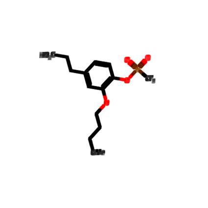 COCCCOc1cc(CCC(=O)O)ccc1OS(=O)(=O)C(F)(F)F